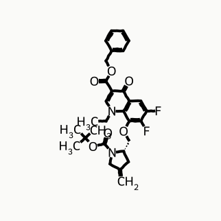 C=C1C[C@@H](COc2c(F)c(F)cc3c(=O)c(C(=O)OCc4ccccc4)cn(CC)c23)N(C(=O)OC(C)(C)C)C1